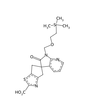 C[Si](C)(C)CCOCN1C(=O)C2(Cc3nc(C(=O)O)sc3C2)c2cccnc21